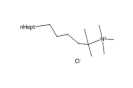 CCCCCCCCCCCC(C)(C)[N+](C)(C)C.[Cl-]